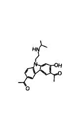 CC(=O)c1ccc2c(c1)c1cc(C(C)=O)c(O)cc1n2CCNC(C)C